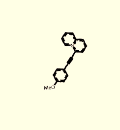 COc1ccc(C#Cc2cccc3cccc[n+]23)cc1